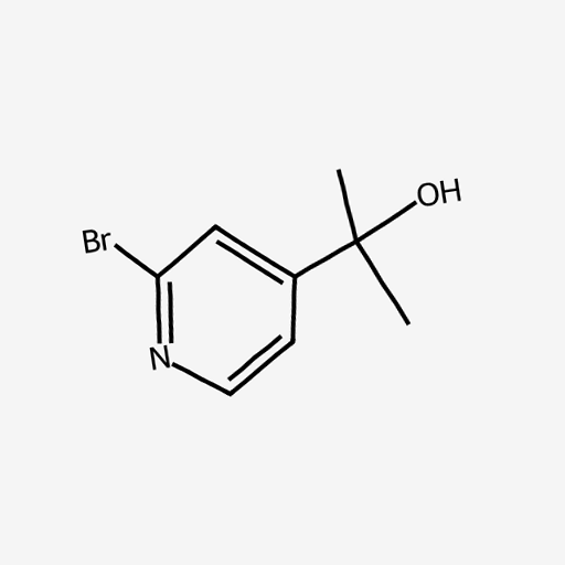 CC(C)(O)c1ccnc(Br)c1